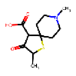 CC1SC2(CCN(C)CC2)C(C(=O)O)C1=O